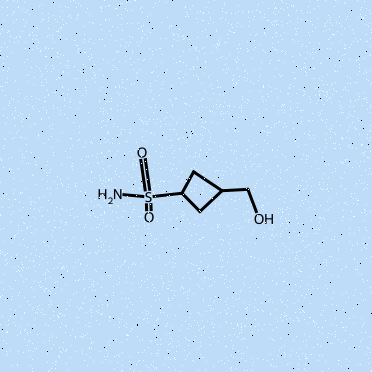 NS(=O)(=O)C1CC(CO)C1